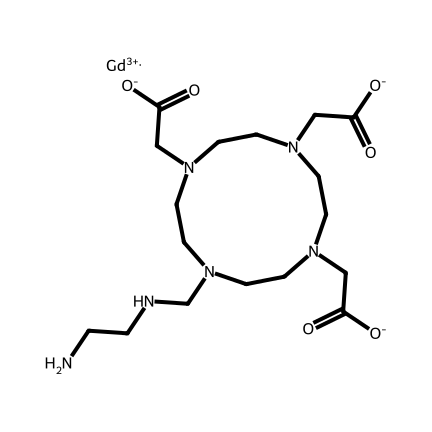 NCCNCN1CCN(CC(=O)[O-])CCN(CC(=O)[O-])CCN(CC(=O)[O-])CC1.[Gd+3]